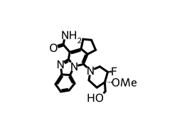 CO[C@]1(CO)CCN(c2c3c(c(C(N)=O)c4nc5ccccc5n24)CCC3)C[C@H]1F